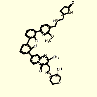 COc1nc(-c2cccc(-c3cccc(-c4ccn5c(=O)c(CN[C@@H]6CCOC[C@H]6O)c(C)nc5c4)c3Cl)c2Cl)ccc1CNC[C@H]1CCC(=O)N1